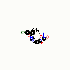 CC1(C)CCC(C(=O)N2CCN(Cc3ccc4c(c3F)CN(C3CCC(=O)NC3=O)C4=O)CC2)=C(c2ccc(Cl)cc2)C1